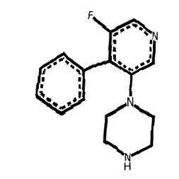 Fc1cncc(N2CCNCC2)c1-c1ccccc1